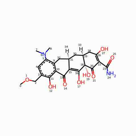 COCc1cc(N(C)C)c2c(c1O)C(=O)C1=C(O)[C@]3(O)C(=O)C(C(N)=O)=C(O)C[C@@H]3C[C@@H]1C2